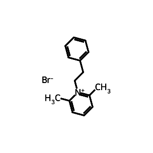 Cc1cccc(C)[n+]1CCc1ccccc1.[Br-]